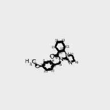 COc1ccc(CN2C(=O)C3=C(CCCC3)N3CCN=C23)cc1